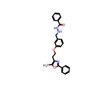 Cc1oc(-c2ccccc2)nc1CCOc1cccc(CNNC(=O)c2ccccc2)c1